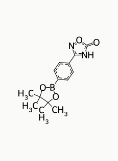 CC1(C)OB(c2ccc(-c3noc(=O)[nH]3)cc2)OC1(C)C